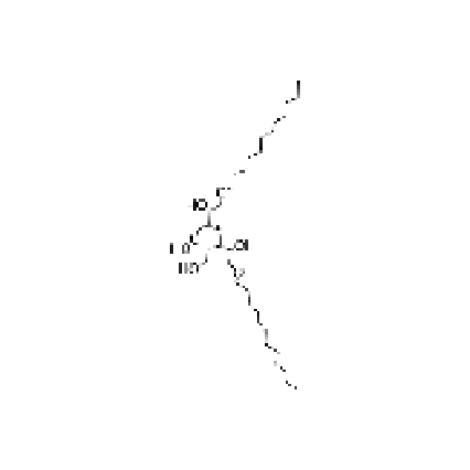 CCCCCCCCCCCCOCC(O)C(CCO)SC(CCO)C(O)COCCCCCCCCCCCC